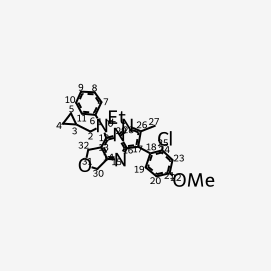 CC[N+](CC1CC1)(c1ccccc1)c1c2c(nc3c(-c4ccc(OC)cc4Cl)c(C)nn13)COC2